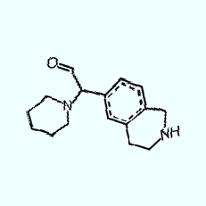 O=CC(c1ccc2c(c1)CCNC2)N1CCCCC1